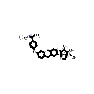 CO/N=C(/C)c1ccc(Oc2ccc(Cc3cc([C@]45OC[C@](CO)(O4)[C@@H](O)[C@H](O)C5C)ccc3Cl)cc2)cc1